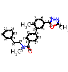 Cc1nnc(-c2ccc(C)c(-c3ccc(C(=O)N(C)CCc4ccccc4)cc3)c2)o1